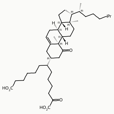 CC(C)CCC[C@@H](C)[C@H]1CC[C@H]2[C@@H]3CC=C4C[C@@H](C(CCCCCC(=O)O)CCCCC(=O)C(=O)O)CC(=O)[C@]4(C)[C@H]3CC[C@]12C